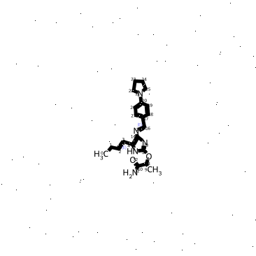 CC/C=C/c1[nH]c(OC(C)C(N)=O)nc1/N=C/c1ccc(N2CCCC2)cc1